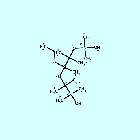 CC(C)(O[Si](C)(CCC(F)(F)F)C(C)(C)O[Si](C)(C)O)[Si](C)(C)O